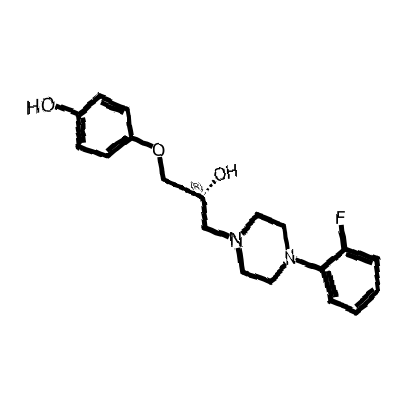 Oc1ccc(OC[C@H](O)CN2CCN(c3ccccc3F)CC2)cc1